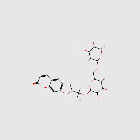 CC1OC(OCC2OC(OC(C)(C)C3Cc4cc5ccc(=O)oc5cc4O3)C(O)C(O)C2O)C(O)C(O)C1O